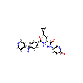 O=C(NC(CCC1CC1)C(=O)Nc1ccc(O)nc1)c1ccc(Nc2ccncc2)cc1